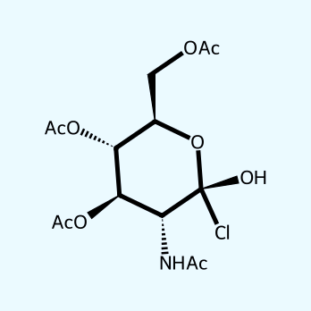 CC(=O)N[C@@H]1[C@@H](OC(C)=O)[C@H](OC(C)=O)[C@@H](COC(C)=O)O[C@]1(O)Cl